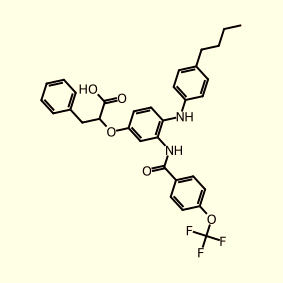 CCCCc1ccc(Nc2ccc(OC(Cc3ccccc3)C(=O)O)cc2NC(=O)c2ccc(OC(F)(F)F)cc2)cc1